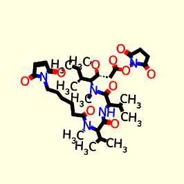 CC[C@H](C)[C@@H]([C@@H](CC(=O)ON1C(=O)CCC1=O)OC)N(C)C(=O)C(NC(=O)C(C(C)C)N(C)C(=O)CCCCCN1C(=O)C=CC1=O)C(C)C